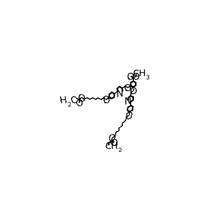 C=CC(=O)OCCCCCCCCOc1ccc(-c2ccc(COc3ccc(C(=O)OC)cc3OCc3ccc(-c4ccc(OCCCCCCCCOC(=O)C=C)cc4)nc3)cn2)cc1